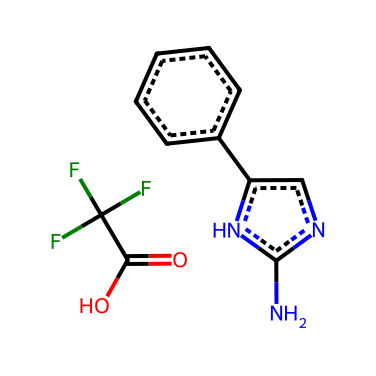 Nc1ncc(-c2ccccc2)[nH]1.O=C(O)C(F)(F)F